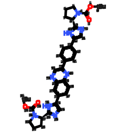 CC(C)(C)OC(=O)N1CCC[C@H]1c1ncc(-c2ccc(-c3cnc4cc(-c5cnc([C@@H]6CCCN6C(=O)OC(C)(C)C)[nH]5)ccc4n3)cc2)[nH]1